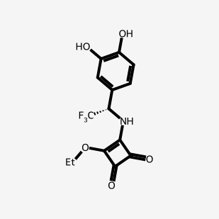 CCOc1c(N[C@@H](c2ccc(O)c(O)c2)C(F)(F)F)c(=O)c1=O